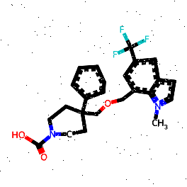 Cn1ccc2cc(C(F)(F)F)cc(COCC3(c4ccccc4)CCN(C(=O)O)CC3)c21